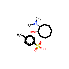 CN(C)[C@@H]1CCCCCC[C@H]1O.Cc1ccc(S(=O)(=O)O)cc1